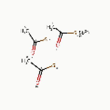 CC(=O)[S-].CC(=O)[S-].CC(=O)[S-].[Sb+3]